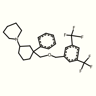 FC(F)(F)c1cc(COCC2(c3ccccc3)CCCC(N3CCCCC3)C2)cc(C(F)(F)F)c1